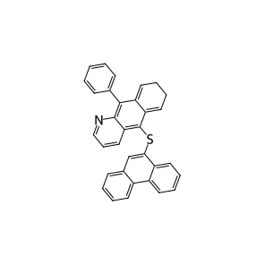 C1=c2c(Sc3cc4ccccc4c4ccccc34)c3cccnc3c(-c3ccccc3)c2=CCC1